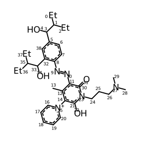 CCC(CC)C(O)c1ccc(/N=N/c2c(C)c(-[n+]3ccccc3)c(O)n(CCCN(C)C)c2=O)c(C(O)C(CC)CC)c1